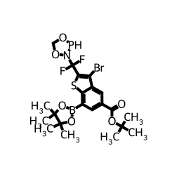 CC(C)(C)OC(=O)c1cc(B2OC(C)(C)C(C)(C)O2)c2sc(C(F)(F)N3OCOP3)c(Br)c2c1